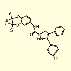 O=C(Nc1ccc2c(c1)OC(F)(Cl)C(F)(F)O2)N1CC(c2ccccc2)=C(c2ccc(Cl)cc2)N1